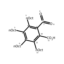 CCCCCCCCc1c(CCCCCCCC)c(CCCCCCCC)c(I(=O)=O)c(C(=O)O)c1CCCCCCCC